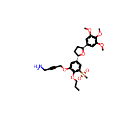 CCCOc1c(OCC#CCN)cc([C@@H]2CC[C@@H](c3cc(OC)c(OC)c(OC)c3)O2)cc1S(C)(=O)=O